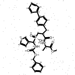 COC(=O)C(C)NC(=O)C(Cc1ccc(-c2ccccc2)cc1)C[P@@](=O)(O)C(NC(=O)OCc1ccccc1)c1ccsc1